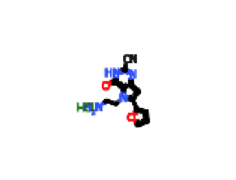 Cl.N#Cc1nc2cc(-c3ccco3)n(CCN)c2c(=O)[nH]1